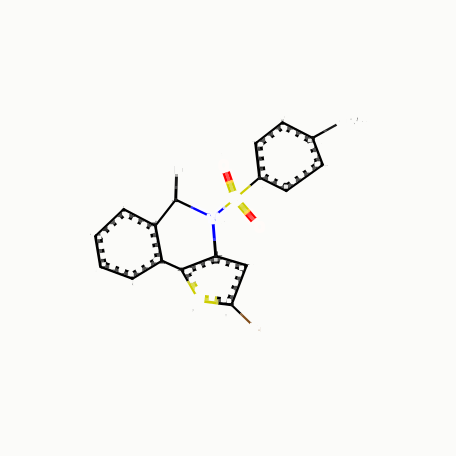 CCC1c2ccccc2-c2sc(Br)cc2N1S(=O)(=O)c1ccc(OC)cc1